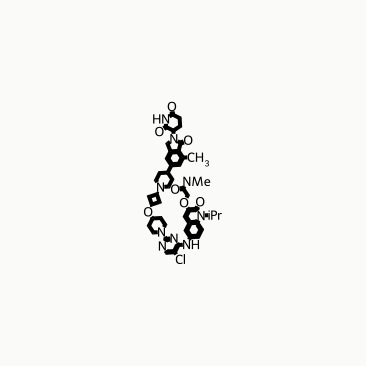 CNC(=O)COc1cc2cc(Nc3nc(N4CCC(O[C@H]5C[C@H](N6CCC(c7cc(C)c8c(c7)CN(C7CCC(=O)NC7=O)C8=O)CC6)C5)CC4)ncc3Cl)ccc2n(C(C)C)c1=O